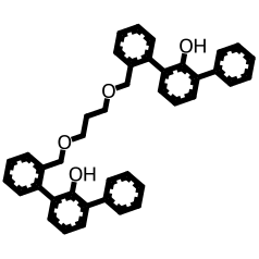 Oc1c(-c2ccccc2)cccc1-c1ccccc1COCCCOCc1ccccc1-c1cccc(-c2ccccc2)c1O